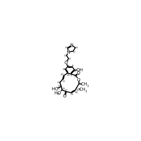 CC1OC(=O)c2c(O)cc(OCCN3C=NCC3)cc2/C=C/CC(O)C(O)C(=O)/C=C\[C@H]1C